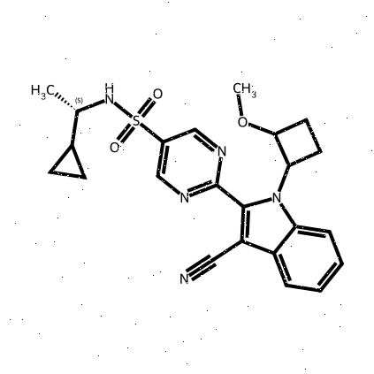 COC1CCC1n1c(-c2ncc(S(=O)(=O)N[C@@H](C)C3CC3)cn2)c(C#N)c2ccccc21